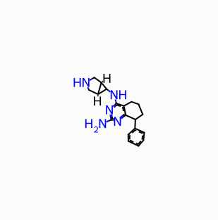 Nc1nc(NC2[C@H]3CNC[C@@H]23)c2c(n1)C(c1ccccc1)CCC2